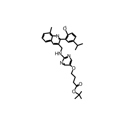 COc1ccc(C(C)C)cc1-c1nc2c(C)cccc2cc1CNc1ncc(OCCCC(=O)OC(C)(C)C)cn1